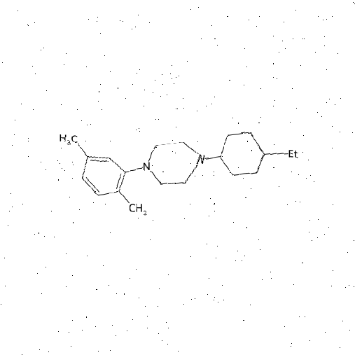 CCC1CCC(N2CCN(c3cc(C)ccc3C)CC2)CC1